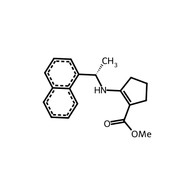 COC(=O)C1=C(N[C@@H](C)c2cccc3ccccc23)CCC1